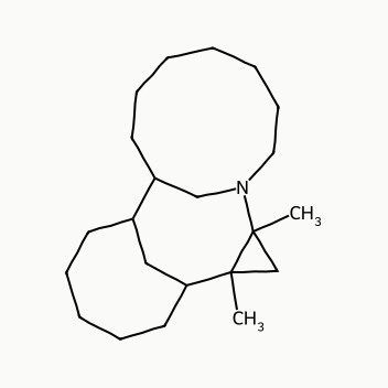 CC12CC1(C)N1CCCCCCCC(C1)C1CCCCCC2C1